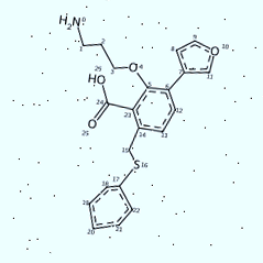 NCCCOc1c(-c2ccoc2)ccc(CSc2ccccc2)c1C(=O)O